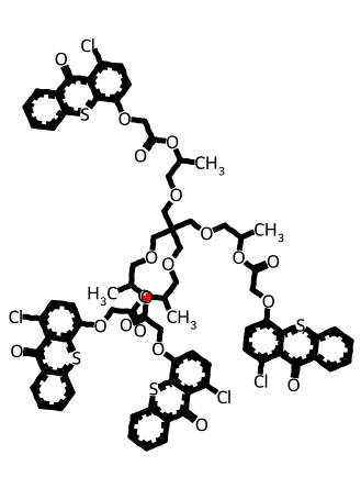 CC(COCC(COCC(C)OC(=O)COc1ccc(Cl)c2c(=O)c3ccccc3sc12)(COCC(C)OC(=O)COc1ccc(Cl)c2c(=O)c3ccccc3sc12)COCC(C)OC(=O)COc1ccc(Cl)c2c(=O)c3ccccc3sc12)OC(=O)COc1ccc(Cl)c2c(=O)c3ccccc3sc12